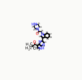 CC(C)(C)C(=O)c1c[nH]c2ncc(-c3cn(CC(=O)N4CCNCC4)c4ccccc34)nc12